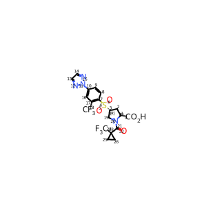 O=C(O)[C@@H]1C[C@@H](S(=O)(=O)c2ccc(-n3nccn3)cc2C(F)(F)F)CN1C(=O)C1(C(F)(F)F)CC1